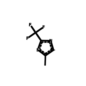 Cc1[c]nc(C(F)(F)F)s1